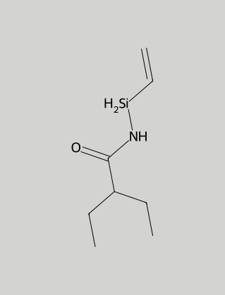 C=C[SiH2]NC(=O)C(CC)CC